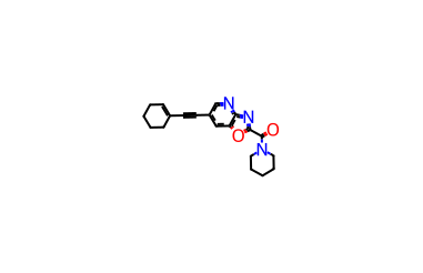 O=C(c1nc2ncc(C#CC3=CCCCC3)cc2o1)N1CCCCC1